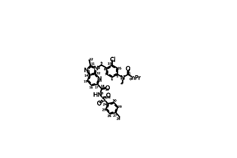 CCCC(=O)N(C)c1ccc(Cn2c(C)nc3ccc(C(=O)NS(=O)(=O)c4ccc(C)cc4)nc32)c(Cl)c1